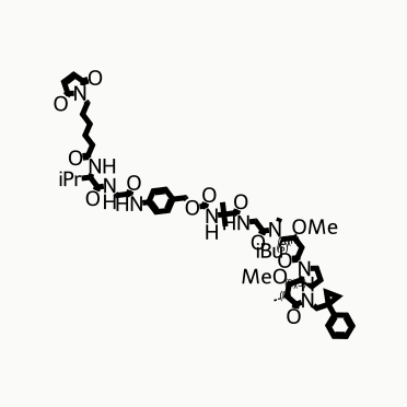 CC[C@H](C)[C@@H]([C@@H](CC(=O)N1CCC[C@H]1[C@H](OC)[C@@H](C)C(=O)NCC1(c2ccccc2)CC1)OC)N(C)C(=O)CNC(=O)C(C)(C)NC(=O)OCc1ccc(NC(=O)CNC(=O)C(NC(=O)CCCCCN2C(=O)C=CC2=O)C(C)C)cc1